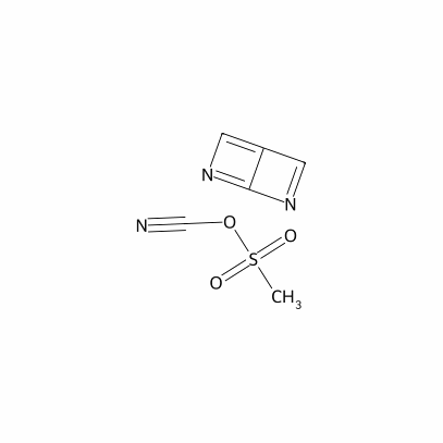 CS(=O)(=O)OC#N.c1nc2ncc1-2